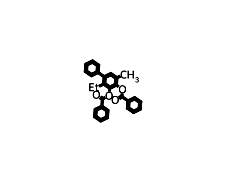 CCc1c(-c2ccccc2)cc(C)c(OC(=O)c2ccccc2)c1OC(=O)c1ccccc1